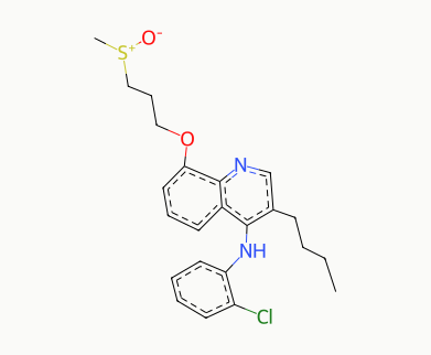 CCCCc1cnc2c(OCCC[S+](C)[O-])cccc2c1Nc1ccccc1Cl